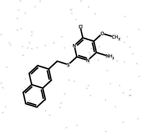 COc1c(N)nc(SCc2ccc3ccccc3c2)nc1Cl